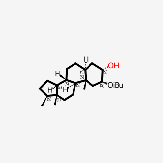 CC(C)CO[C@H]1C[C@@]2(C)[C@@H](CC[C@@H]3[C@@H]2CC[C@]2(C)[C@@H](C)CC[C@@H]32)C[C@@H]1O